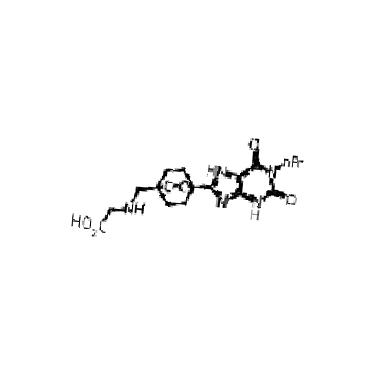 CCCn1c(=O)[nH]c2nc(C34CCC(CNCC(=O)O)(CC3)CC4)[nH]c2c1=O